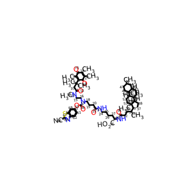 CC1=C(C)C(=O)C(C(C)(C)CC(=O)N(C)CCN(CCCC(=O)NCCCCC(NC(=O)CC[C@@H](C)[C@H]2CC[C@H]3[C@@H]4CC[C@@H]5C[C@H](C)CC[C@]5(C)[C@H]4CC[C@]23C)C(=O)O)C(=O)Oc2ccc3nc(C#N)sc3c2)=C(C)C1=O